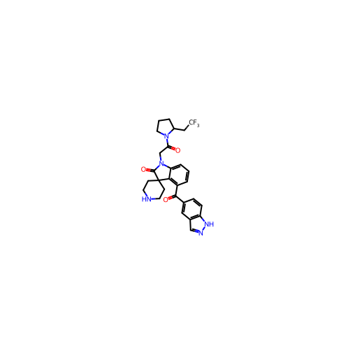 O=C(c1ccc2[nH]ncc2c1)c1cccc2c1C1(CCNCC1)C(=O)N2CC(=O)N1CCCC1CC(F)(F)F